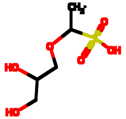 [CH2]C(OCC(O)CO)S(=O)(=O)O